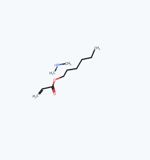 C=CC(=O)OCCCCCC.CNC